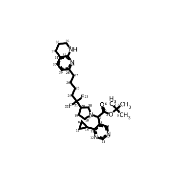 CC(C)(C)OC(=O)C(c1cncnc1C1CC1)N1CCC(C(F)(F)CCCCc2ccc3c(n2)NCCC3)C1